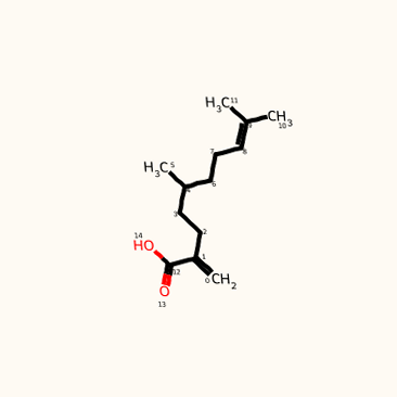 C=C(CCC(C)CCC=C(C)C)C(=O)O